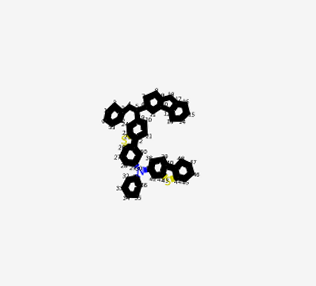 c1ccc(CC(c2ccc3c(c2)-c2ccccc2C3)c2ccc3c(c2)sc2ccc(N(c4ccccc4)c4ccc5c(c4)sc4ccccc45)cc23)cc1